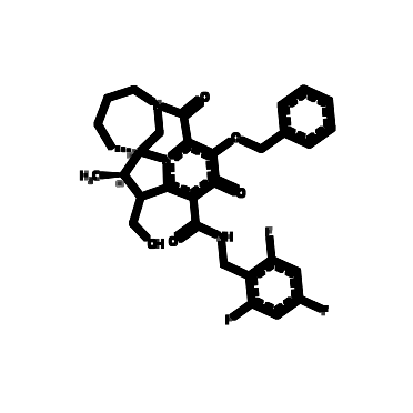 C[C@@H]1C(CO)c2c(C(=O)NCc3c(F)cc(F)cc3F)c(=O)c(OCc3ccccc3)c3n2[C@@]12CCCCN(C2)C3=O